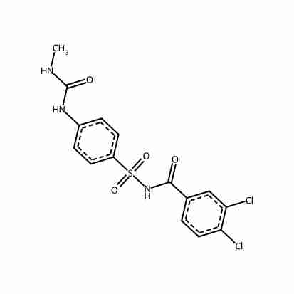 CNC(=O)Nc1ccc(S(=O)(=O)NC(=O)c2ccc(Cl)c(Cl)c2)cc1